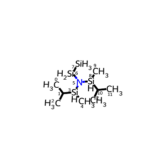 CC(C)[SiH](C)N([SiH2][SiH3])[SiH](C)C(C)C